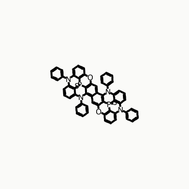 S=P12c3c4cccc3N(c3ccccc3)c3cccc(c31)N(c1ccccc1)c1c2c(cc2c3c5c(cc12)Oc1cccc2c1P5(=S)c1c(cccc1N3c1ccccc1)N2c1ccccc1)O4